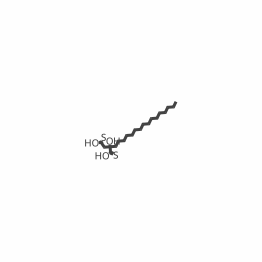 CCCCCCCCCCCCCCCCC(O)(CC(O)=S)C(O)=S